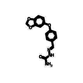 NC(=O)NN=Cc1ccc(Oc2ccc3c(c2)OCO3)cc1